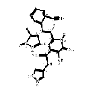 Cc1c([C@H](c2ccccc2C#N)[C@H](C)c2nc(C(=O)Nc3cnoc3)c(O)c(=O)n2C)cnn1C